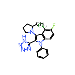 CC1CCCN1c1c(-c2nnn[nH]2)n(-c2ccccc2)c2ccc(F)c(Cl)c12